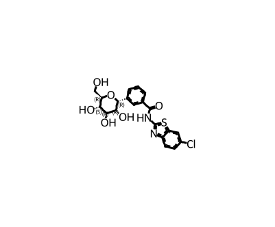 O=C(Nc1nc2ccc(Cl)cc2s1)c1cccc([C@H]2O[C@H](CO)[C@@H](O)[C@H](O)[C@H]2O)c1